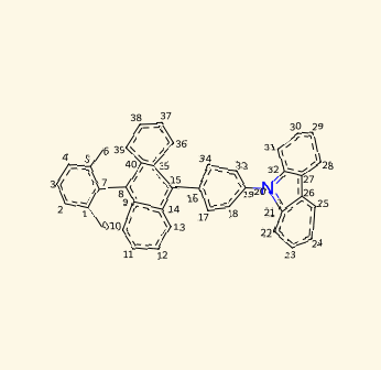 Cc1cccc(C)c1-c1c2ccccc2c(-c2ccc(-n3c4ccccc4c4ccccc43)cc2)c2ccccc12